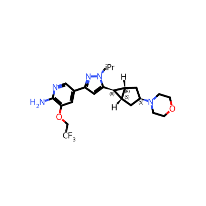 CC(C)n1nc(-c2cnc(N)c(OCC(F)(F)F)c2)cc1[C@H]1[C@@H]2C[C@@H](N3CCOCC3)C[C@@H]21